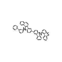 c1ccc(-c2cccc(-n3c4ccc(-c5ccc6c(c5)c5ccccc5n6-c5cccc6sc7ccccc7c56)cc4c4ccc5ccccc5c43)c2)cc1